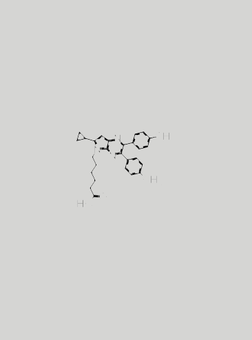 Cc1ccc(-c2nc3cc(C4CC4)n(CCCCCC(=O)O)c3nc2-c2ccc(C)cc2)cc1